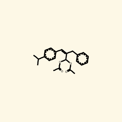 CC(=O)OC(OC(C)=O)C(=Cc1ccc(C(C)C)cc1)Cc1ccccc1